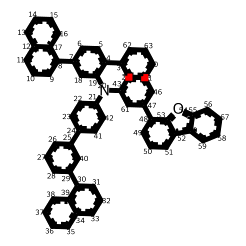 c1ccc(-c2ccc(-c3cccc4ccccc34)cc2N(c2ccc(-c3cccc(-c4cccc5ccccc45)c3)cc2)c2cccc(-c3cccc4c3oc3ccccc34)c2)cc1